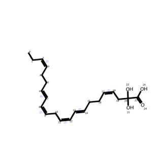 CC/C=C\CC/C=C/C=C\C/C=C\C=C\CC/C=C\CC(O)(O)C(=O)O